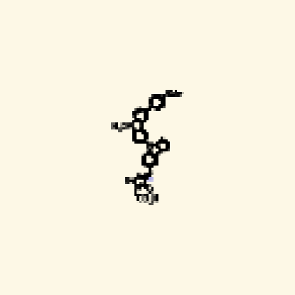 CSc1ccc(-c2ccc3c(c2)c2cc(N4c5ccc(/C=C6\SC(=S)N(CC(=O)O)C6=O)cc5C5CCCC54)ccc2n3C)cc1